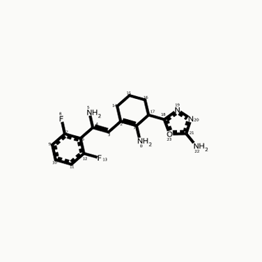 NC1=C(/C=C(\N)c2c(F)cccc2F)CCCC1c1nnc(N)o1